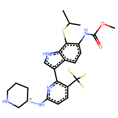 COC(=O)Nc1ccc2c(-c3nc(N[C@H]4CCCNC4)ccc3C(F)(F)F)c[nH]c2c1SC(C)C